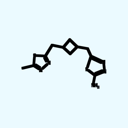 Cc1nnc(CC2CC(Cc3nnc(N)s3)C2)s1